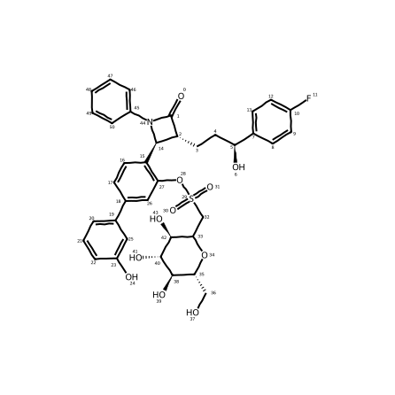 O=C1[C@H](CC[C@H](O)c2ccc(F)cc2)[C@@H](c2ccc(-c3cccc(O)c3)cc2OS(=O)(=O)CC2O[C@H](CO)[C@@H](O)[C@H](O)[C@H]2O)N1c1ccccc1